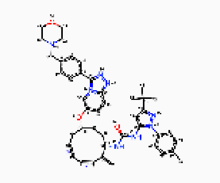 C=C1/C=C\C=C/C[C@H](Oc2ccc3nnc(-c4ccc(CN5CCOCC5)cc4)n3c2)CC[C@@H]1NC(=O)Nc1cc(C(C)(C)C)nn1-c1ccc(C)cc1